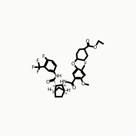 CCOC(=O)C1CCC(Oc2cc(C(=O)N[C@@H]3[C@H]4CC[C@H](C4)[C@@H]3C(=O)Nc3ccc(F)c(C(F)(F)F)c3)c(OC)cc2F)CC1